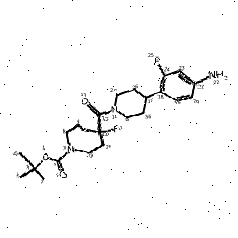 CC(C)(C)OC(=O)N1CCC(F)(C(=O)N2CCC(c3ccc(N)cc3F)CC2)CC1